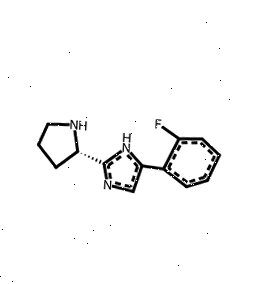 Fc1ccccc1-c1cnc([C@@H]2CCCN2)[nH]1